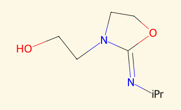 CC(C)/N=C1\OCCN1CCO